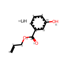 C=CCOC(=O)c1cccc(O)c1.[LiH]